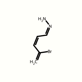 C=C(Br)/C=C\C=N/N